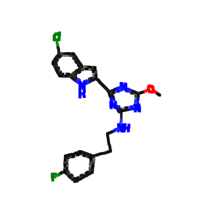 COc1nc(NCCc2ccc(F)cc2)nc(-c2cc3cc(Cl)ccc3[nH]2)n1